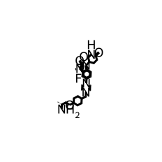 C[C@@H](N)COC1CCC(CN2CCN(c3ccc4c(c3F)n(C)c(=O)n4C3CCC(=O)NC3=O)CC2)CC1